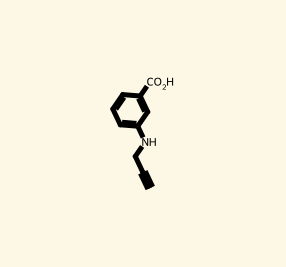 C#CCNc1cccc(C(=O)O)c1